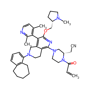 C=CC(=O)N1CCN(c2nc(OC[C@@H]3CCCN3C)c(-c3c(C)ccnc3C)c3c2CCN(c2cccc4c2CCCCC4)C3)C[C@@H]1CC#N